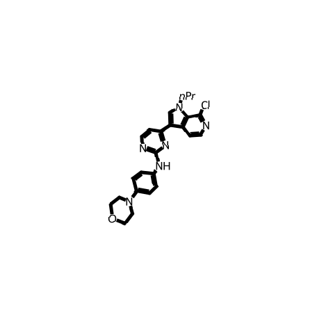 CCCn1cc(-c2ccnc(Nc3ccc(N4CCOCC4)cc3)n2)c2ccnc(Cl)c21